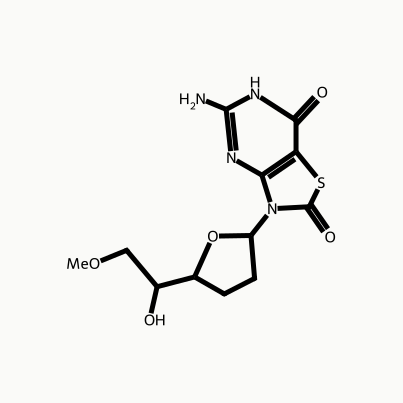 COCC(O)C1CCC(n2c(=O)sc3c(=O)[nH]c(N)nc32)O1